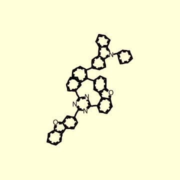 c1ccc(-c2nc(-c3ccc4c(c3)oc3ccccc34)nc(-c3cccc4oc5ccc(-c6ccccc6-c6ccc7c(c6)c6ccccc6n7-c6ccccc6)cc5c34)n2)cc1